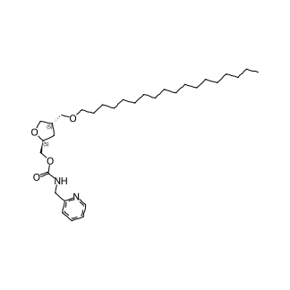 CCCCCCCCCCCCCCCCCCOC[C@H]1CO[C@H](COC(=O)NCc2ccccn2)C1